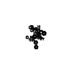 CC(C)CN(CC(O)C(Cc1ccccc1)NC(=O)OC1COC2OCCC12)S(=O)(=O)c1ccc([N+](=O)[O-])c(NC2CCN(C3CCCC3)C2)c1